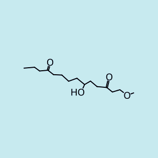 CCCC(=O)CCCCC(O)CCC(=O)CCOC